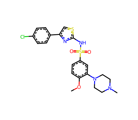 COc1ccc(S(=O)(=O)Nc2nc(-c3ccc(Cl)cc3)cs2)cc1N1CCN(C)CC1